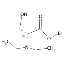 CCN(CC)[C@H](CO)C(=O)OBr